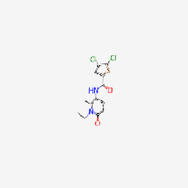 CCn1c(C)c(NC(=O)c2cc(Cl)c(Cl)s2)ccc1=O